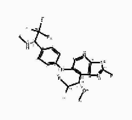 CN[C@@H](c1ccc(Nc2cnc3sc(C)nc3c2[C@H](OC)C(F)F)cc1)C(F)(F)F